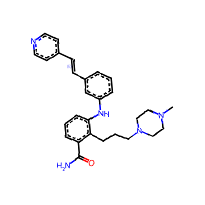 CN1CCN(CCCc2c(Nc3cccc(/C=C/c4ccncc4)c3)cccc2C(N)=O)CC1